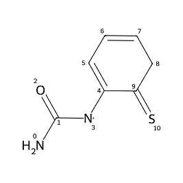 NC(=O)[N]C1=CC=CCC1=S